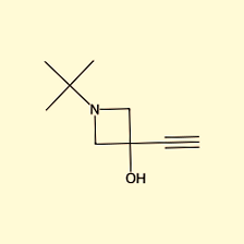 C#CC1(O)CN(C(C)(C)C)C1